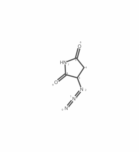 [N-]=[N+]=NC1CC(=O)NC1=O